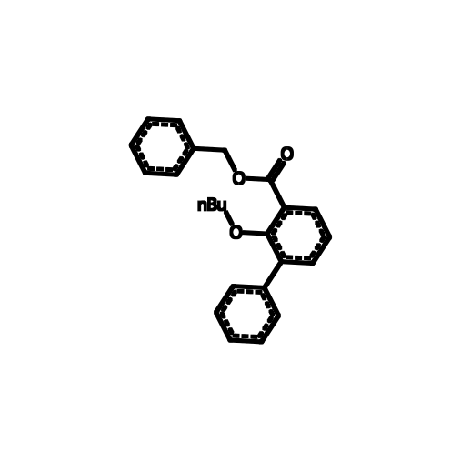 CCCCOc1c(C(=O)OCc2ccccc2)cccc1-c1ccccc1